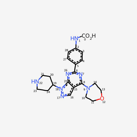 O=C(O)Nc1ccc(-c2nc(N3CCOCC3)c3cnn(C4CCNCC4)c3n2)cc1